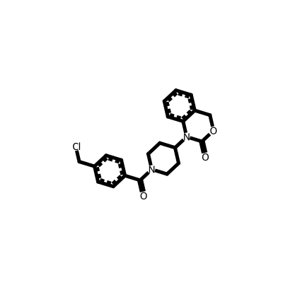 O=C(c1ccc(CCl)cc1)N1CCC(N2C(=O)OCc3ccccc32)CC1